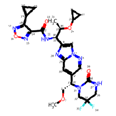 COC[C@H](c1cnn2cc([C@@H](NC(=O)c3nonc3C3CC3)[C@@H](C)OC3CC3)nc2c1)N1CC(F)(F)CNC1=O